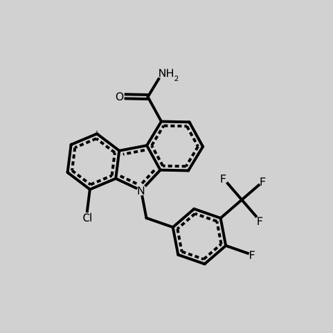 NC(=O)c1cccc2c1c1[c]ccc(Cl)c1n2Cc1ccc(F)c(C(F)(F)F)c1